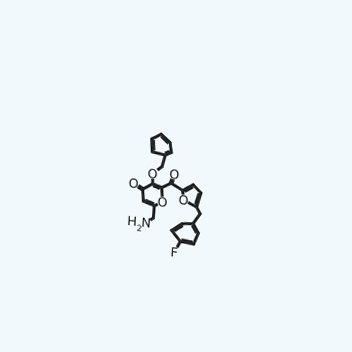 NCc1cc(=O)c(OCc2ccccc2)c(C(=O)c2ccc(Cc3ccc(F)cc3)o2)o1